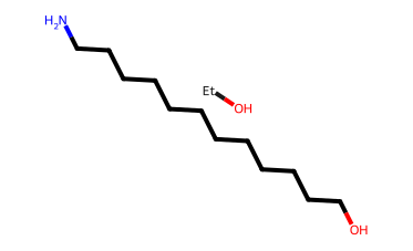 CCO.NCCCCCCCCCCCCO